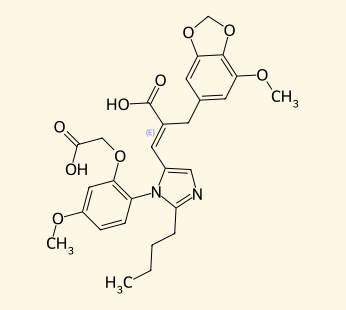 CCCCc1ncc(/C=C(\Cc2cc(OC)c3c(c2)OCO3)C(=O)O)n1-c1ccc(OC)cc1OCC(=O)O